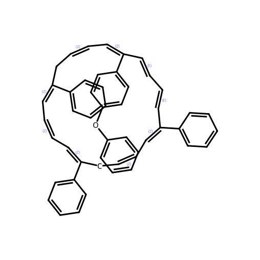 C1=C\C=C(/c2ccccc2)C\C=C/C=C(c2ccc(Oc3ccccc3)cc2)/C=C/C=C/C(c2ccccc2)=C/C=C\C/C(c2ccccc2)=C/1